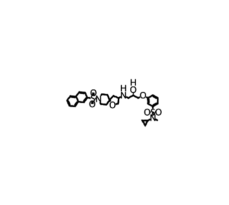 CN(C1CC1)S(=O)(=O)c1cccc(OC[C@@H](O)CNC2COC3(CCN(S(=O)(=O)c4ccc5ccccc5c4)CC3)C2)c1